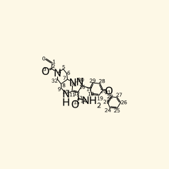 C=CC(=O)N1CCC2C(CNc3c(C(N)=O)c(-c4ccc(Oc5ccccc5)cc4)nn32)C1